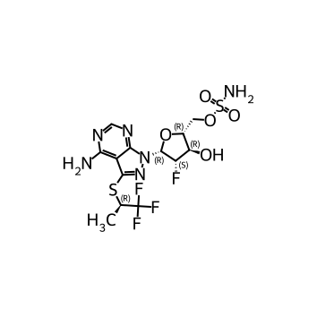 C[C@@H](Sc1nn([C@@H]2O[C@H](COS(N)(=O)=O)[C@@H](O)[C@@H]2F)c2ncnc(N)c12)C(F)(F)F